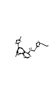 Cc1cnc(-c2cnc3ncnc(NCc4csc(C)n4)c3c2)s1